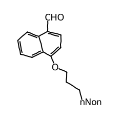 CCCCCCCCCCCCOc1ccc(C=O)c2ccccc12